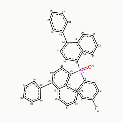 O=P(c1ccc(F)cc1)(c1ccc(-c2ccccc2)c2ccccc12)c1ccc(-c2ccccc2)c2ccccc12